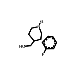 CCN1CCC(CO)CC1.Fc1ccccc1